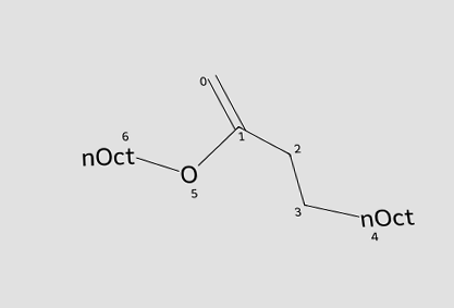 C=C(CCCCCCCCCC)OCCCCCCCC